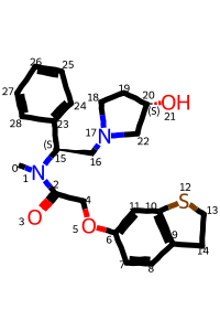 CN(C(=O)COc1ccc2c(c1)SCC2)[C@H](CN1CC[C@H](O)C1)c1ccccc1